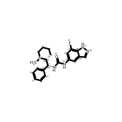 CN1CCCC[C@@H]1[C@H](NC(=O)Nc1cc(F)c2[nH]ncc2c1)c1ccccc1